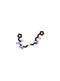 O=C(Cc1nnc(CCSCCc2nnc(NC(=O)CC3CCCC3)s2)s1)CC1CCCC1